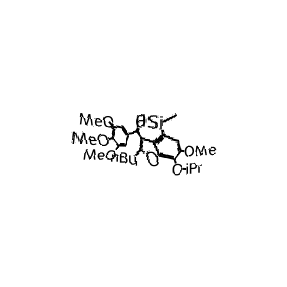 CCCCc1oc2c(OC(C)C)c(OC)cc([SiH](C)C)c2c1C(=O)c1cc(OC)c(OC)c(OC)c1